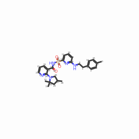 Cc1ccc(CCNc2cccc(S(=O)(=O)NC(=O)c3cccnc3N3CC(C)CC3(C)C)n2)cc1